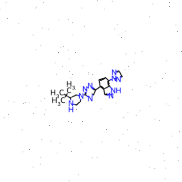 CC(C)(C)C1CN(c2ncc(-c3ccc(-n4nccn4)c4[nH]ncc34)nn2)CCN1